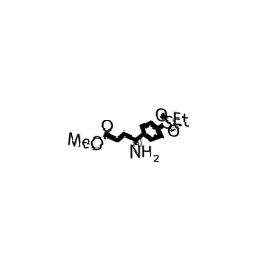 CCS(=O)(=O)c1ccc([C@@H](N)CCC(=O)OC)cc1